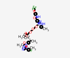 CCc1ccc(NC(=O)C(C)n2cncc(-c3ccc(F)c(C)c3)c2=O)cc1.Cc1cccc(Nc2nc3cc(C(=O)Nc4ccc(OCC(F)(F)F)cc4)ccc3n2CCOCCOCCOCCC(=O)OC(C)(C)C)c1